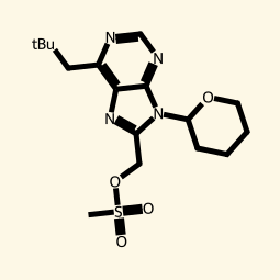 CC(C)(C)Cc1ncnc2c1nc(COS(C)(=O)=O)n2C1CCCCO1